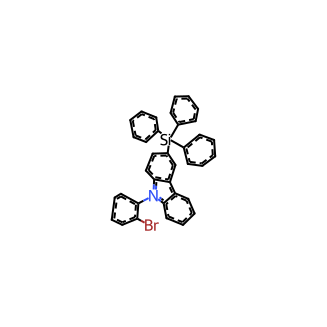 Brc1ccccc1-n1c2ccccc2c2cc([Si](c3ccccc3)(c3ccccc3)c3ccccc3)ccc21